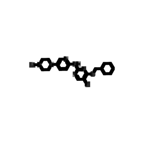 CCN1CCN(c2ccc(Nc3ncc(Cl)c(OCC4CCCCC4)n3)nc2)CC1